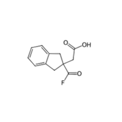 O=C(O)CC1(C(=O)F)Cc2ccccc2C1